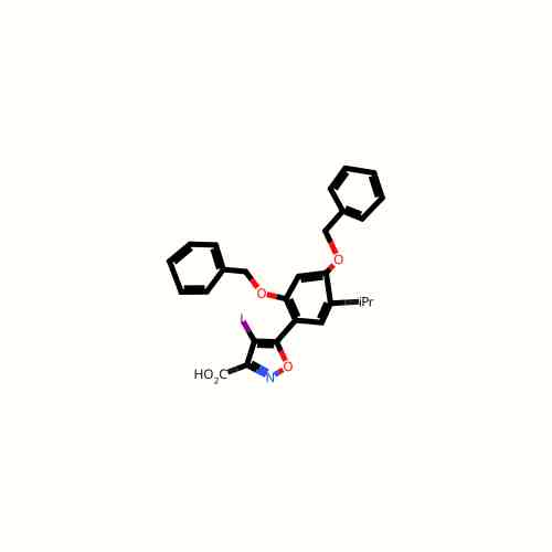 CC(C)c1cc(-c2onc(C(=O)O)c2I)c(OCc2ccccc2)cc1OCc1ccccc1